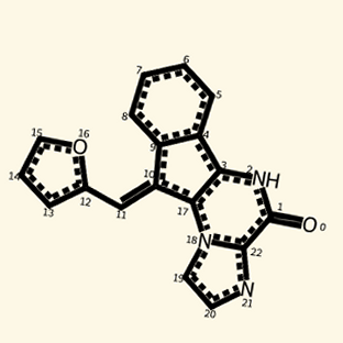 O=c1[nH]c2c3ccccc3c(=Cc3ccco3)c2n2ccnc12